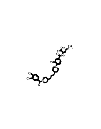 CSCCC(NC(=O)c1ccc(N2CCC(CCCC3CCN(C(=O)c4ccc(Cl)c(Cl)c4)CC3)CC2)c(Cl)c1)C(=O)O